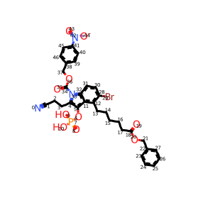 N#CCCc1c(OP(=O)(O)O)c2c(CCCCCC(=O)OCc3ccccc3)c(Br)ccc2n1C(=O)OCc1ccc([N+](=O)[O-])cc1